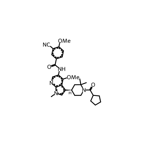 COc1ccc(C(=O)Nc2cnc3c(c([C@@H]4CCN(C(=O)C5CCCC5)C(C)(C)C4)cn3C)c2OC)cc1C#N